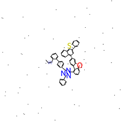 C/C=C\c1ccccc1-c1ccc(-c2nc(-c3ccccc3)nc(-c3cccc4oc5cc(-c6cc7c8ccccc8sc7c7ccccc67)ccc5c34)n2)cc1